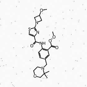 COOC(=O)c1cc(CN2CCOCC2(C)C)ccc1NC(=O)c1csc(N2CC(OC)C2)n1